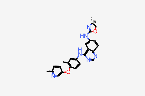 Cc1ccc(Oc2ccc(Nc3ncnc4ccc(NC5=N[C@H](C)CO5)cc34)cc2C)cn1